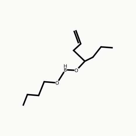 C=CCC(CCC)OBOCCCC